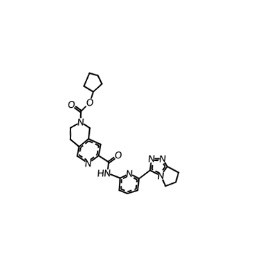 O=C(Nc1cccc(-c2nnc3n2CCC3)n1)c1cc2c(cn1)CCN(C(=O)OC1CCCC1)C2